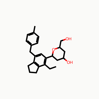 CCc1c(C2CC(O)CC(CO)O2)cc(Cc2ccc(C)cc2)c2c1CCC2